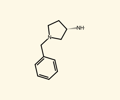 [NH][C@H]1CCN(Cc2ccccc2)C1